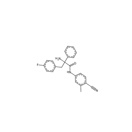 Cc1cc(NC(=O)C(N)(Cc2ccc(F)cc2)c2ccccc2)ccc1C#N